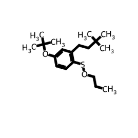 CCCOSc1ccc(OC(C)(C)C)cc1CCC(C)(C)C